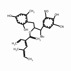 C=C/C(=C\C(C)=C/C)C(=C)OC(Cc1c(C)cc(O)cc1O)C(c1cc(C#N)c(O)c(N=O)c1)C(C)CC